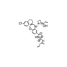 C=CC[C@H](C)[C@@H](C)S(=O)(=O)NC(=O)c1ccc2c(c1)N(C[C@@H]1CC[C@H]1[C@@H](O)C=C)C[C@@]1(CCCc3cc(Cl)ccc31)CO2